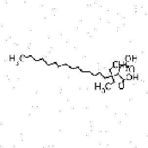 CCCCCCCCCCCCCCCC(CC)(CC)C(CC(=O)O)C(=O)O